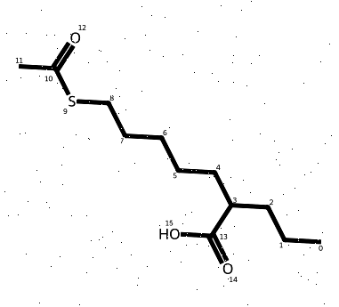 CCCC(CCCCCSC(C)=O)C(=O)O